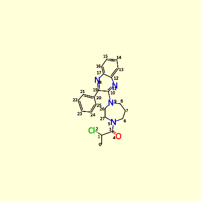 CC(Cl)C(=O)N1CCCN(c2nc3ccccc3nc2-c2ccccc2)CC1